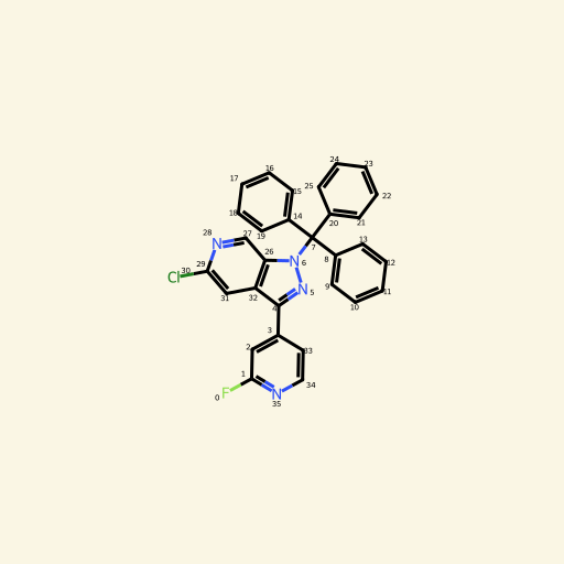 Fc1cc(-c2nn(C(c3ccccc3)(c3ccccc3)c3ccccc3)c3cnc(Cl)cc23)ccn1